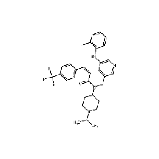 CC(C)N1CCC(N(Cc2cncc(Nc3ccncc3F)c2)C(=O)C=Cc2ccc(C(F)(F)F)cc2)CC1